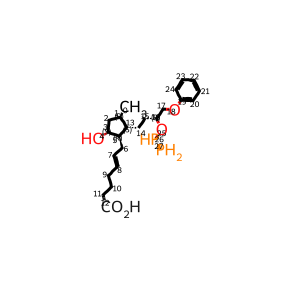 C[C@@H]1C[C@H](O)[C@H](CC=CCCCC(=O)O)[C@H]1CC[C@H](COc1ccccc1)OPP